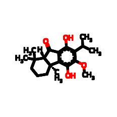 COc1c(O)c2c(c(O)c1C(C)C)C(=O)[C@H]1C(C)(C)CCC[C@]21C